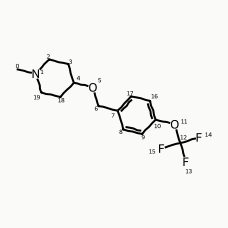 CN1CCC(OCc2ccc(OC(F)(F)F)cc2)CC1